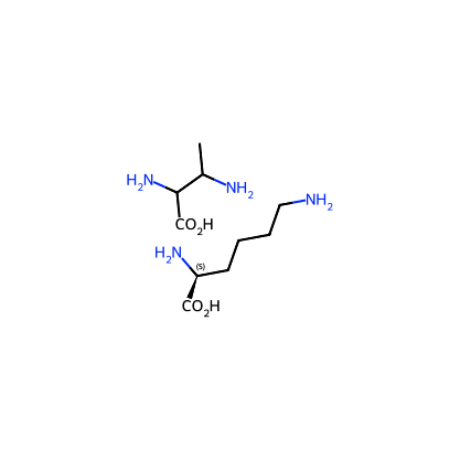 CC(N)C(N)C(=O)O.NCCCC[C@H](N)C(=O)O